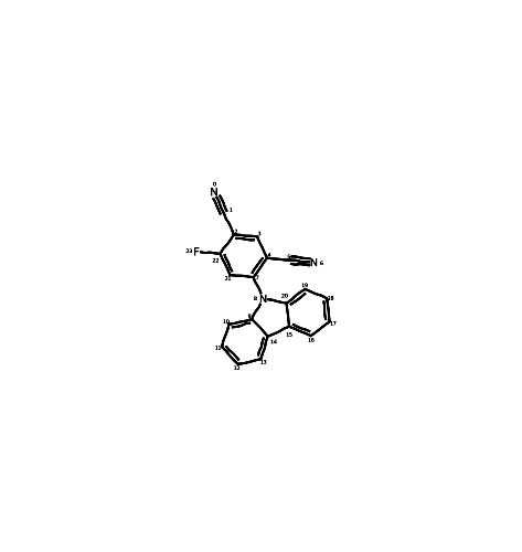 N#Cc1cc(C#N)c(-n2c3ccccc3c3ccccc32)cc1F